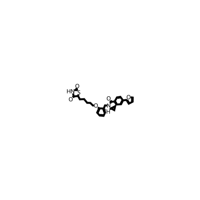 [2H]C1(N(Cc2ccccc2OCCCCCC2SC(=O)NC2=O)C(=O)c2ccc(-c3ccco3)cc2)CC1